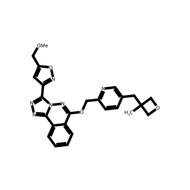 COCc1cc(-c2nnc3c4ccccc4c(OCc4ccc(CC5(C)COC5)cn4)nn23)no1